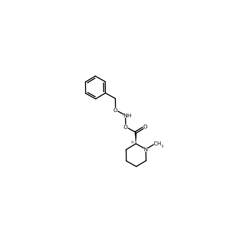 CN1CCCC[C@H]1C(=O)ONOCc1ccccc1